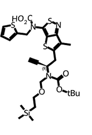 C#C[C@@H](Cc1sc2c(N(Cc3cccs3)C(=O)O)snc2c1C)N(COCC[Si](C)(C)C)C(=O)OC(C)(C)C